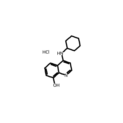 Cl.Oc1cccc2c(NC3CCCCC3)ccnc12